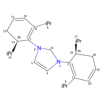 CC(C)C1=C(N2C=CN(C3=C(C(C)C)C=CC[C@@H]3C(C)C)C2)[C@@H](C(C)C)CC=C1